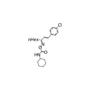 CCCCCCC(C=Cc1ccc(Cl)cc1)=NOC(=O)NC1CCCCC1